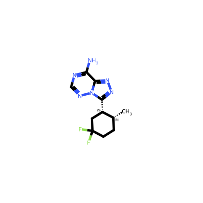 C[C@@H]1CCC(F)(F)C[C@@H]1c1nnc2c(N)ncnn12